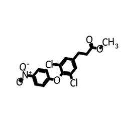 COC(=O)CCc1cc(Cl)c(Oc2ccc([N+](=O)[O-])cc2)c(Cl)c1